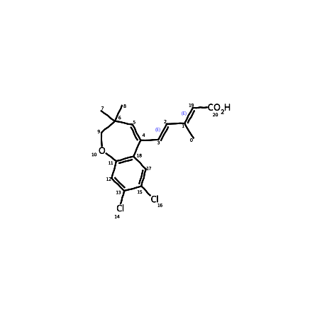 CC(/C=C/C1=CC(C)(C)COc2cc(Cl)c(Cl)cc21)=C\C(=O)O